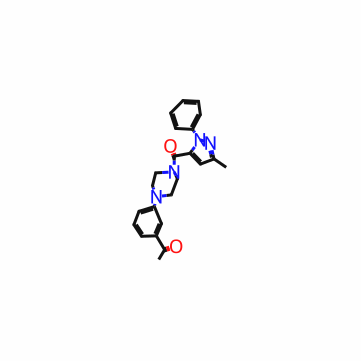 CC(=O)c1cccc(N2CCN(C(=O)c3cc(C)nn3-c3ccccc3)CC2)c1